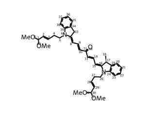 COC(/C=C/CCN1/C(=C/C=C/C(=O)/C=C/C=C2\[C@@H](C)c3ccccc3N2CC/C=C/C(OC)OC)Cc2ccccc21)OC